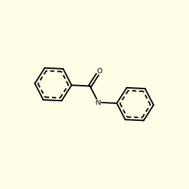 O=C([N]c1ccccc1)c1ccccc1